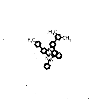 Cc1cc(C)cc(-c2ccc3c(c2)c2ccccc2n3-c2cc(-c3ccc(C(F)(F)F)cc3)ccc2-c2nc(-c3ccccc3)nc(-c3ccccc3)n2)c1